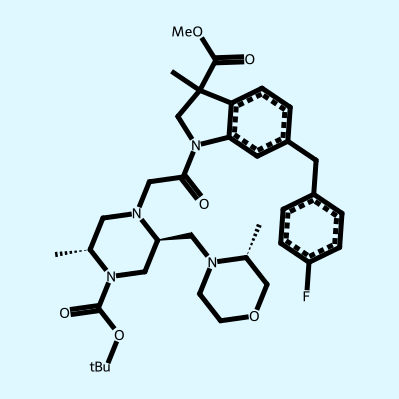 COC(=O)C1(C)CN(C(=O)CN2C[C@@H](C)N(C(=O)OC(C)(C)C)C[C@@H]2CN2CCOC[C@H]2C)c2cc(Cc3ccc(F)cc3)ccc21